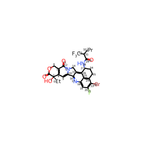 CC[C@@]1(O)C(=O)OCc2c1cc1n(c2=O)Cc2c-1nc1cc(F)c(Br)c3c1c2[C@@H](NC(=O)C(C(C)C)C(F)(F)F)CC3